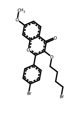 COc1ccc2c(=O)c(OCCCCBr)c(-c3ccc(Br)cc3)oc2c1